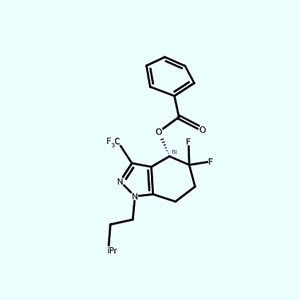 CC(C)CCn1nc(C(F)(F)F)c2c1CCC(F)(F)[C@H]2OC(=O)c1ccccc1